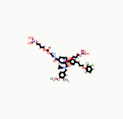 COc1ccc(CN(C(=O)C2=C(c3ccc(CCCOc4c(F)ccc(F)c4Cl)cc3)CC3CC(C(=O)NCCOC(=O)OCCCCON(O)O)CC2N3C(=O)OCCCCON(O)O)C2CC2)cc1C